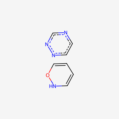 C1=CNOC=C1.c1cnncn1